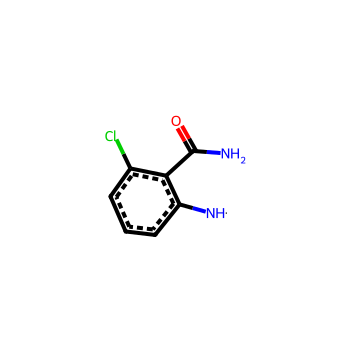 [NH]c1cccc(Cl)c1C(N)=O